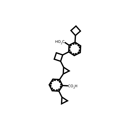 O=C(O)c1c(C2CCC2)cccc1C1CCC1C1CC1c1cccc(C2CC2)c1C(=O)O